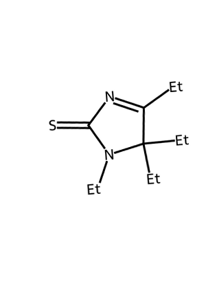 CCC1=NC(=S)N(CC)C1(CC)CC